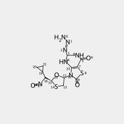 NN=NC1NC(=O)c2sc(=O)n(C3CS[C@@H](C(N=O)C4CC4)O3)c2N1